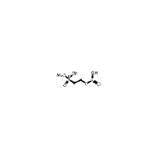 CO[SH](=O)(O)CCOS(=O)O